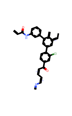 C=CC(=O)Nc1cccc(-c2cc(-c3ccc(C(=O)/C=C\C=C/N=C)cc3Cl)c/c(=C/C)c2=C)c1